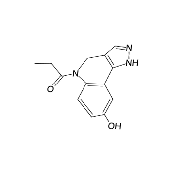 CCC(=O)N1Cc2cn[nH]c2-c2cc(O)ccc21